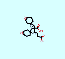 CC1(CC(CCCC(=O)O)(CC2(C)CCC3OC3C2)C(=O)O)CCC2OC2C1